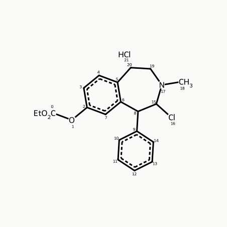 CCOC(=O)Oc1ccc2c(c1)C(c1ccccc1)C(Cl)N(C)CC2.Cl